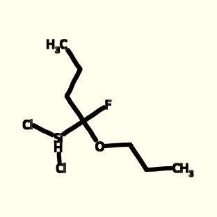 CCCOC(F)(CCC)[SiH](Cl)Cl